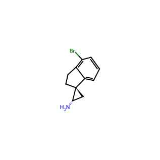 N[C@H]1C[C@]12CCc1c(Br)cccc12